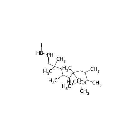 CC(C)C(C)C(C)CC(C)(C)C(C)C(C)CC(C)(C)CPBI